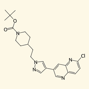 CC(C)(C)OC(=O)N1CCC(CCn2cc(-c3cnc4ccc(Cl)nc4c3)cn2)CC1